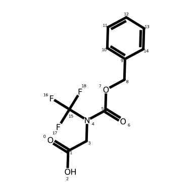 O=C(O)CN(C(=O)OCc1ccccc1)C(F)(F)F